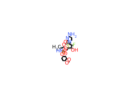 CC(C)OC(=O)[C@H](C)N[P@](=O)(OC[C@H]1S[C@@H](n2ccc(N)nc2=O)[C@@H](F)[C@@H]1O)Oc1ccc2c(c1)OCO2